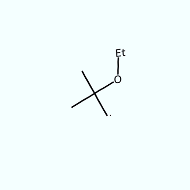 [CH2]C(C)(C)OCC